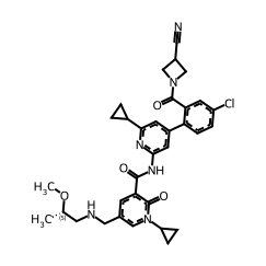 CO[C@@H](C)CNCc1cc(C(=O)Nc2cc(-c3ccc(Cl)cc3C(=O)N3CC(C#N)C3)cc(C3CC3)n2)c(=O)n(C2CC2)c1